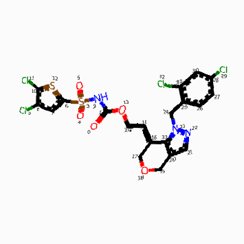 O=C(NS(=O)(=O)c1cc(Cl)c(Cl)s1)OC/C=C1\COCc2cnn(Cc3ccc(Cl)cc3Cl)c21